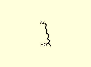 CC(=O)CCCCCCCC(C)O